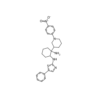 NC1(C2CCCN(c3ccc([N+](=O)[O-])cc3)C2)CCCCC1Nc1ncc(-c2ccccc2)s1